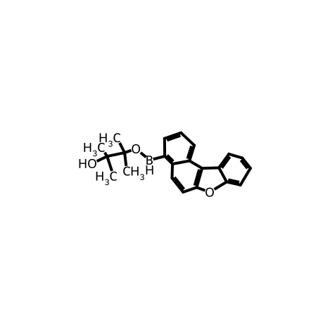 CC(C)(O)C(C)(C)OBc1cccc2c1ccc1oc3ccccc3c12